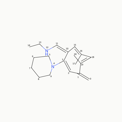 C=C1\C=C(N2CCCCC2)/C(=C\NCC)/C=C(C)/C=C/1C